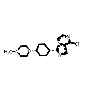 CN1CCN([C@H]2CC[C@@H](c3ncc4c(Cl)nccn43)CC2)CC1